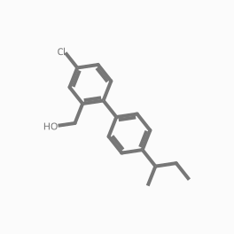 CCC(C)c1ccc(-c2ccc(Cl)cc2CO)cc1